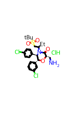 CCC(CS(=O)(=O)C(C)(C)C)N1C(=O)[C@H](CN)O[C@H](c2cccc(Cl)c2)[C@H]1c1ccc(Cl)cc1.Cl